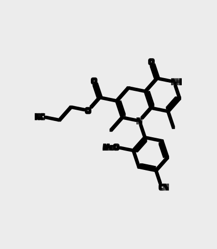 COc1cc(C#N)ccc1N1C(C)=C(C(=O)OCCC#N)Cc2c1c(C)c[nH]c2=O